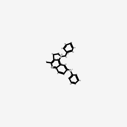 Cc1nc2ccc(Oc3ccccc3)cc2c2c1CCN2Cc1ccccc1